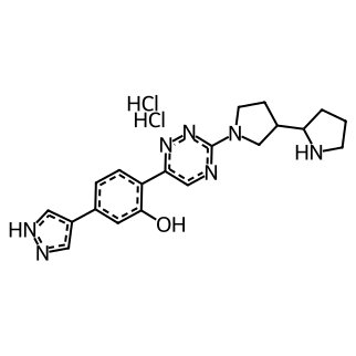 Cl.Cl.Oc1cc(-c2cn[nH]c2)ccc1-c1cnc(N2CCC(C3CCCN3)C2)nn1